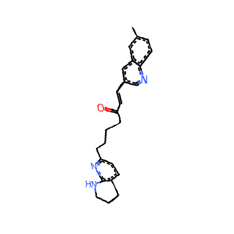 Cc1ccc2ncc(/C=C/C(=O)CCCCc3ccc4c(n3)NCCC4)cc2c1